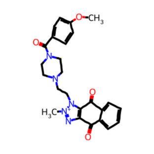 COc1ccc(C(=O)N2CCN(CCn3c4c(n[n+]3C)C(=O)c3ccccc3C4=O)CC2)cc1